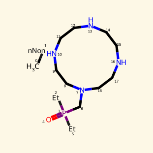 CCCCCCCCCC.CCP(=O)(CC)CN1CCNCCNCCNCC1